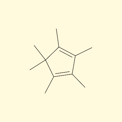 CC1=C(C)C(C)(C)C(C)=C1C